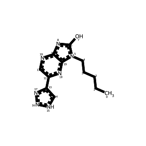 CCCCCn1c(O)nc2ncc(-c3c[nH]nn3)nc21